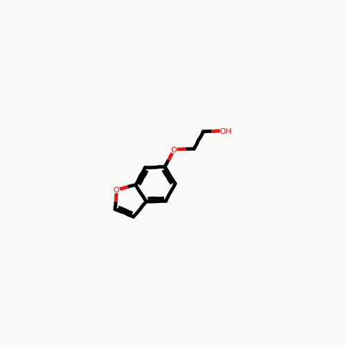 OCCOc1ccc2ccoc2c1